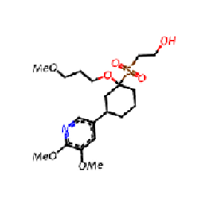 COCCCOC1(S(=O)(=O)CCO)CCCC(c2cnc(OC)c(OC)c2)C1